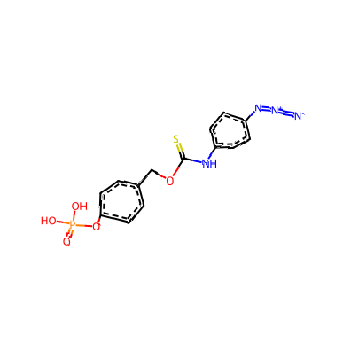 [N-]=[N+]=Nc1ccc(NC(=S)OCc2ccc(OP(=O)(O)O)cc2)cc1